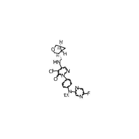 CCN(c1ccc(-n2ncc(NC[C@@H]3COC[C@H]4C[C@@H]34)c(Cl)c2=O)cc1)c1cnc(F)cn1